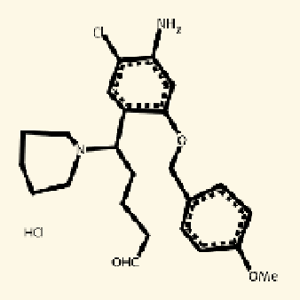 COc1ccc(COc2cc(N)c(Cl)cc2C(CCCC=O)N2CCCCC2)cc1.Cl